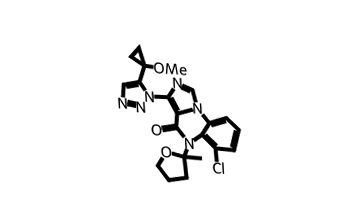 COC1(c2cnnn2-c2ncn3c2c(=O)n(C2(C)CCCO2)c2c(Cl)cccc23)CC1